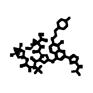 C=C[C@@H]1CC1(NC(=O)[C@@H]1CC(Oc2cc(-c3csc(NC(C)C)n3)nc3c(Cl)c(OCCN4CCN(C)CC4)ccc23)CN1C(=O)[C@@H](NC(=O)O[C@@H]1C[C@@H]2C[C@@H]2C1)C(C)(C)C)C(=O)O